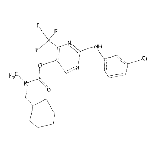 CN(CC1CCCCC1)C(=O)Oc1cnc(Nc2cccc(Cl)c2)nc1C(F)(F)F